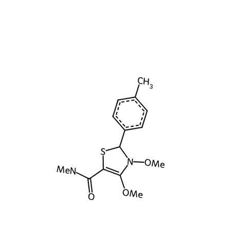 CNC(=O)C1=C(OC)N(OC)C(c2ccc(C)cc2)S1